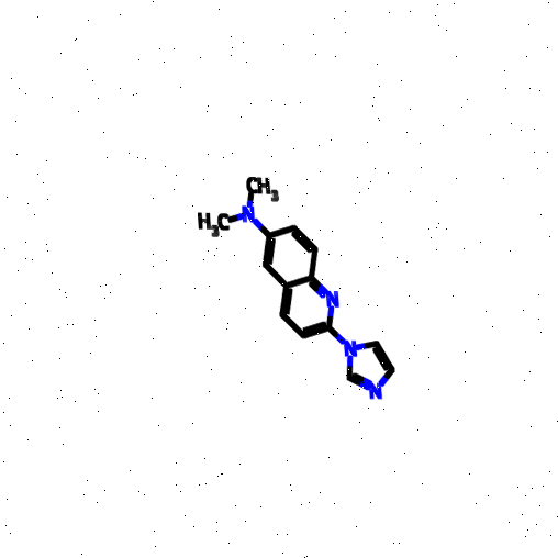 CN(C)c1ccc2nc(-n3ccnc3)ccc2c1